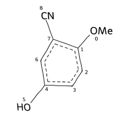 COc1ccc(O)cc1C#N